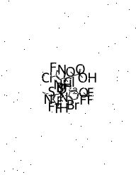 Cc1nc(C(F)(F)F)c(C(=O)Nc2c(Br)cc(OC(F)(F)F)cc2Br)s1.Nc1c(Cl)c(F)nc(OCC(=O)O)c1Cl